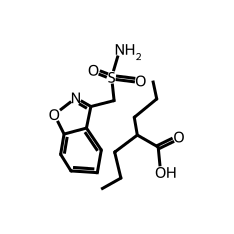 CCCC(CCC)C(=O)O.NS(=O)(=O)Cc1noc2ccccc12